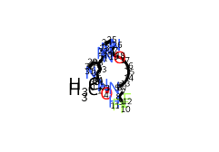 CCN1C(=O)N[C@@H](CCC(F)(F)F)CCCCCOc2nc(nn3ccnc23)-c2ccnc(c2)[C@H]1C